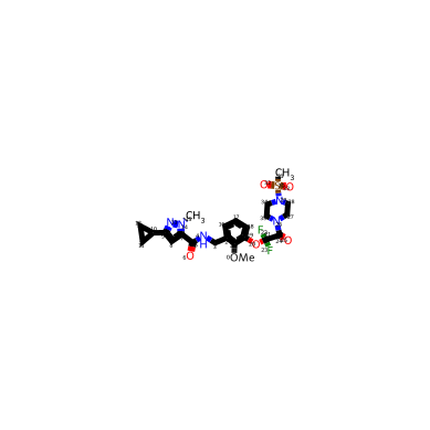 COc1c(CNC(=O)c2cc(C3CC3)nn2C)cccc1OC(F)(F)C(=O)N1CCN(S(C)(=O)=O)CC1